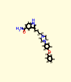 NC(=O)c1ccc2[nH]cc(CCCCN3CCN(c4ccc(OCc5ccccc5)cc4)CC3)c2c1